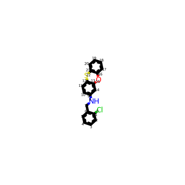 Clc1ccccc1CNc1ccc2c(c1)Oc1ccccc1S2